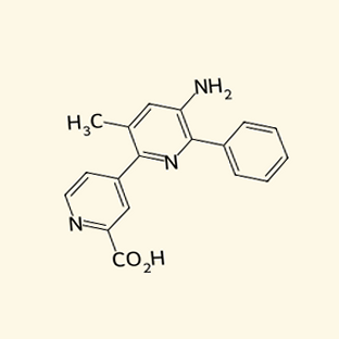 Cc1cc(N)c(-c2ccccc2)nc1-c1ccnc(C(=O)O)c1